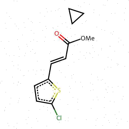 C1CC1.COC(=O)C=Cc1ccc(Cl)s1